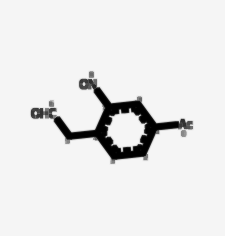 CC(=O)c1ccc(CC=O)c(N=O)c1